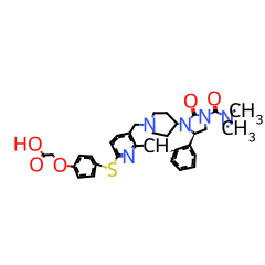 Cc1nc(Sc2ccc(OCC(=O)O)cc2)ccc1CN1CCC(N2C(=O)N(C(=O)N(C)C)C[C@H]2c2ccccc2)CC1